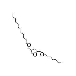 [CH2]CCCCCCOCC1CC(COCCCCCCCCCCCC)CO1